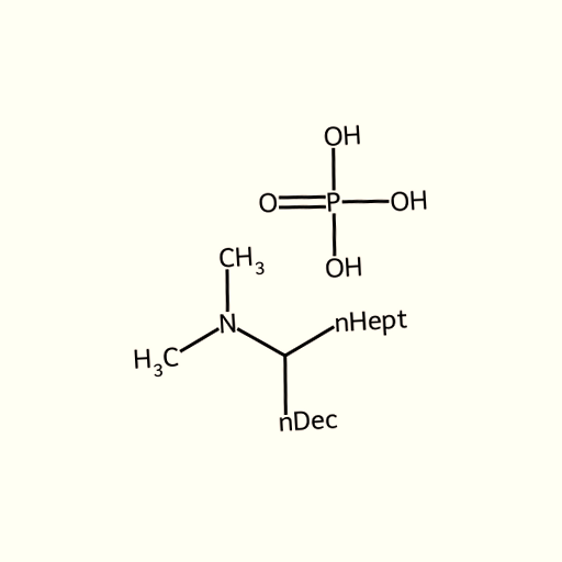 CCCCCCCCCCC(CCCCCCC)N(C)C.O=P(O)(O)O